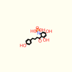 O=C(CCCc1ccc(O)cc1)C1C(O)=CC(O)=CC1=NP(=O)(O)O